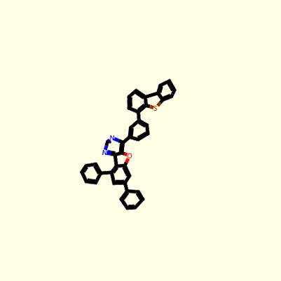 c1ccc(-c2cc(-c3ccccc3)c3c(c2)oc2c(-c4cccc(-c5cccc6c5sc5ccccc56)c4)ncnc23)cc1